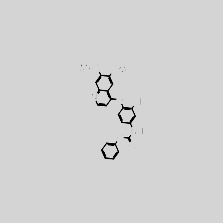 COc1cc2nccc(Oc3ccc(NC(=O)Oc4ccccc4)cc3Cl)c2cc1OC